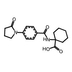 O=C(NC1(C(=O)O)CCCCC1)c1ccc(N2CCCC2=O)cc1